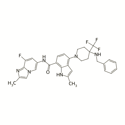 Cc1cn2cc(NC(=O)c3ccc(N4CCC(NCc5ccccc5)(C(F)(F)F)CC4)c4cc(C)[nH]c34)cc(F)c2n1